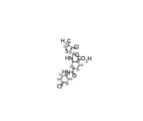 Cc1csc(C(=O)Nc2cc(C(=O)Nc3ccc(Cl)cc3)ccc2C(=O)O)c1Cl